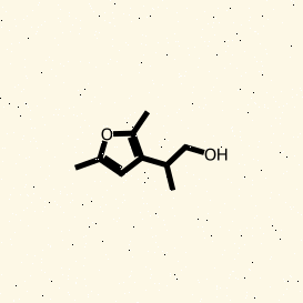 Cc1cc(C(C)CO)c(C)o1